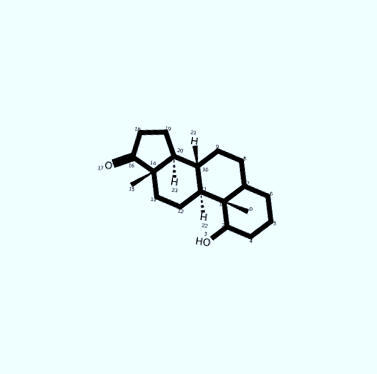 C[C@]12C(O)CCCC1CC[C@@H]1[C@@H]2CC[C@]2(C)C(=O)CC[C@@H]12